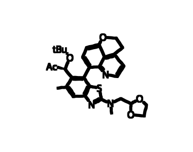 CC(=O)[C@@H](OC(C)(C)C)c1c(C)cc2nc(N(C)CC3OCCO3)sc2c1-c1ccc2c3c(ccnc13)CCO2